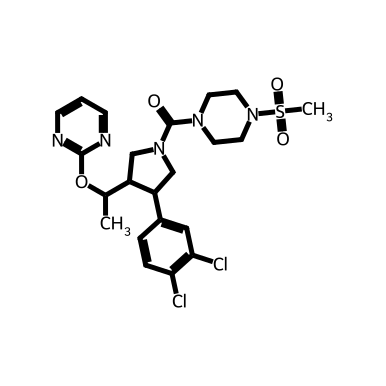 CC(Oc1ncccn1)C1CN(C(=O)N2CCN(S(C)(=O)=O)CC2)CC1c1ccc(Cl)c(Cl)c1